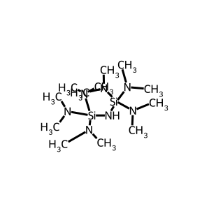 CN(C)[Si](N[Si](N(C)C)(N(C)C)N(C)C)(N(C)C)N(C)C